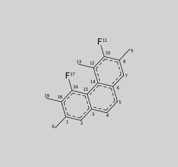 Cc1cc2ccc3cc(C)c(F)c(C)c3c2c(F)c1C